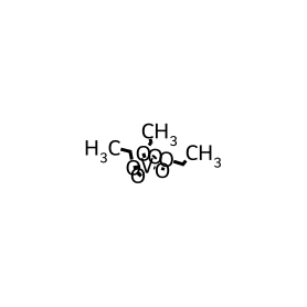 CCO[O][V](=[O])(=[O])([O]CC)[O]CC